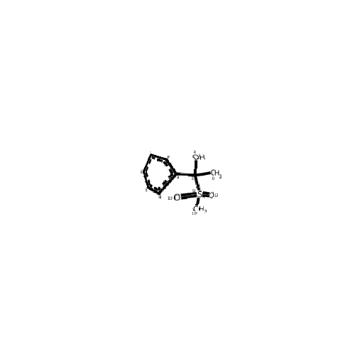 CC(O)(c1ccccc1)S(C)(=O)=O